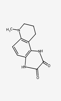 CN1CCCc2c1ccc1[nH]c(=O)c(=O)[nH]c21